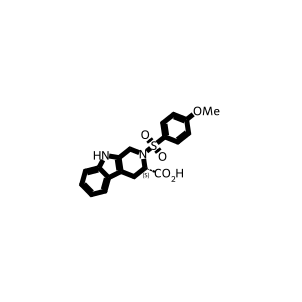 COc1ccc(S(=O)(=O)N2Cc3[nH]c4ccccc4c3C[C@H]2C(=O)O)cc1